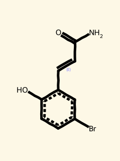 NC(=O)/C=C/c1cc(Br)ccc1O